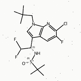 CC(C)(C)Cn1cc([C@H](N[S@@+]([O-])C(C)(C)C)C(F)F)c2cc(F)c(Cl)nc21